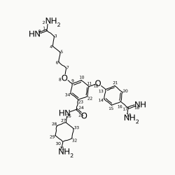 N=C(N)CCCCCOc1cc(Oc2ccc(C(=N)N)cc2)cc(C(=O)NC2CCC(N)CC2)c1